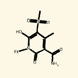 CCn1c(O)c(S(C)(=O)=O)c(C)c(C(N)=O)c1=O